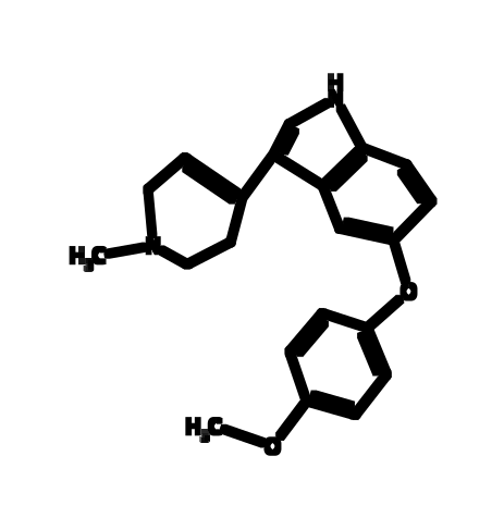 COc1ccc(Oc2ccc3[nH]cc(C4=CCN(C)CC4)c3c2)cc1